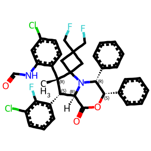 C[C@]1(c2ccc(Cl)cc2NC=O)[C@@H](c2cccc(Cl)c2F)[C@@H]2C(=O)O[C@@H](c3ccccc3)[C@@H](c3ccccc3)N2C12CC(CF)(CF)C2